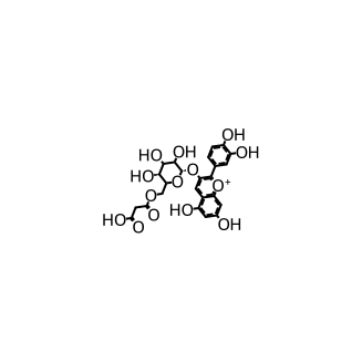 O=C(O)CC(=O)OCC1O[C@@H](Oc2cc3c(O)cc(O)cc3[o+]c2-c2ccc(O)c(O)c2)C(O)C(O)[C@@H]1O